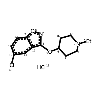 CCN1CCC(Oc2noc3ccc(Cl)cc23)CC1.Cl